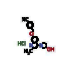 Cc1cc(N2CCC(O)C2)c2ccc(OCc3ccc(C#N)cc3)cc2n1.Cl